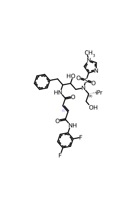 CC(C)[C@H](CO)N(CC(O)C(Cc1ccccc1)NC(=O)/C=C/C(=O)Nc1ccc(F)cc1F)S(=O)(=O)c1cn(C)cn1